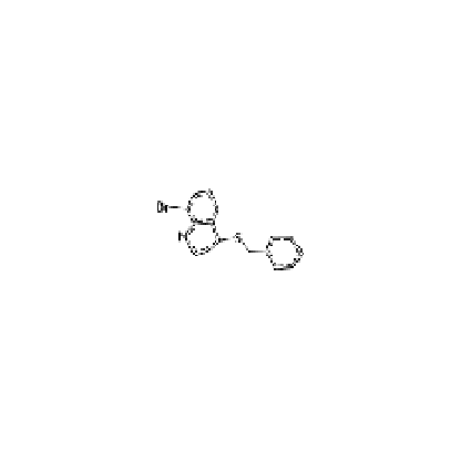 Brc1cccc2c(SCc3ccccc3)ccnc12